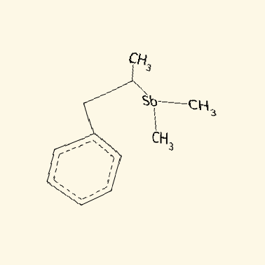 C[CH](Cc1ccccc1)[Sb]([CH3])[CH3]